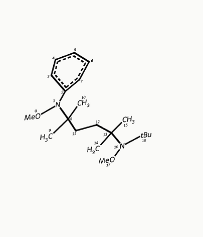 CON(c1ccccc1)C(C)(C)CCC(C)(C)N(OC)C(C)(C)C